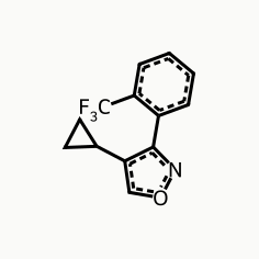 FC(F)(F)c1ccccc1-c1nocc1C1CC1